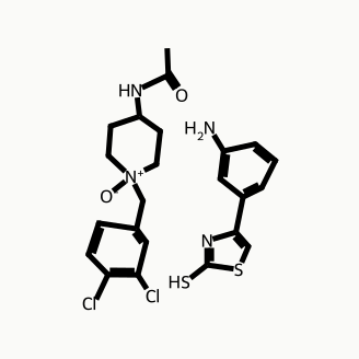 CC(=O)NC1CC[N+]([O-])(Cc2ccc(Cl)c(Cl)c2)CC1.Nc1cccc(-c2csc(S)n2)c1